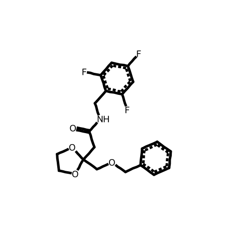 O=C(CC1(COCc2ccccc2)OCCO1)NCc1c(F)cc(F)cc1F